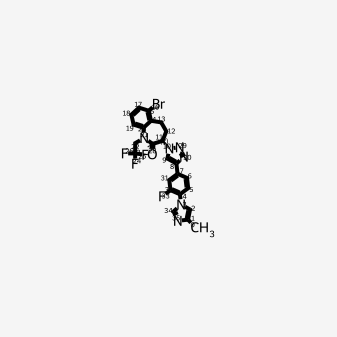 Cc1cn(-c2ccc(-c3cn([C@@H]4CCc5c(Br)cccc5N(CC(F)(F)F)C4=O)nn3)cc2F)cn1